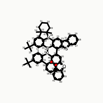 CC(C)(C)c1ccc(N2B3c4cc(C(C)(C)C)cc5c4N(c4cc6c(sc7ccccc76)c(c43)-c3cc4oc6ccccc6c4cc32)C2(C)CCCCC52C)c(-c2ccccc2)c1